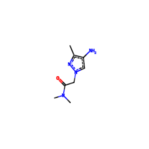 Cc1nn(CC(=O)N(C)C)cc1N